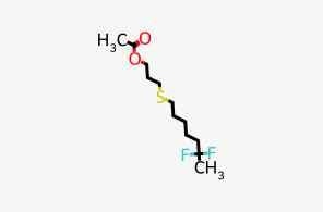 CC(=O)OCCCSCCCCCC(C)(F)F